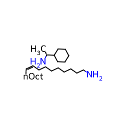 CCCCCCCC/C=C\CCCCCCCCN.C[C@H](N)C1CCCCC1